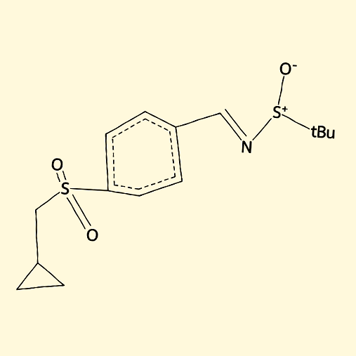 CC(C)(C)[S+]([O-])/N=C/c1ccc(S(=O)(=O)CC2CC2)cc1